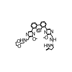 C=C1CC[C@@H](CNCc2ncc(-c3cccc(-c4cccc(-c5cnc(CNCC6OCCO6)c(OC)n5)c4Cl)c3Cl)nc2OC)N1